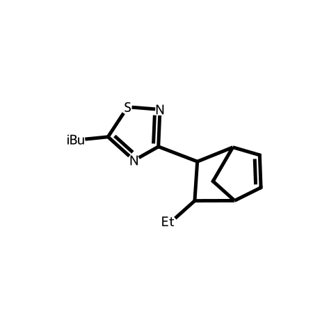 CCC(C)c1nc(C2C3C=CC(C3)C2CC)ns1